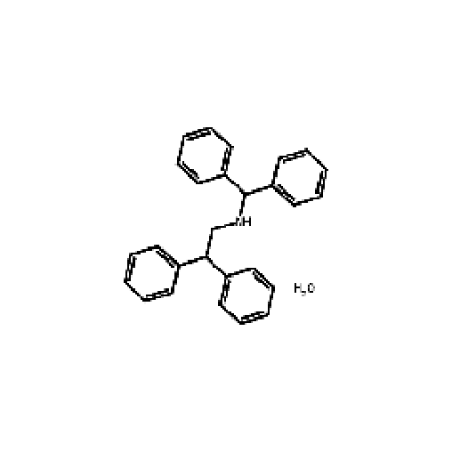 O.c1ccc(C(CNC(c2ccccc2)c2ccccc2)c2ccccc2)cc1